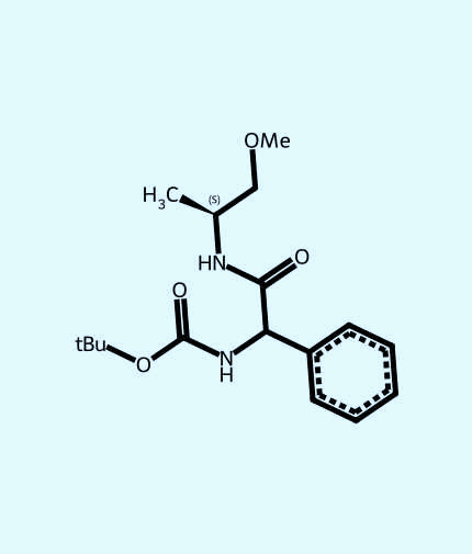 COC[C@H](C)NC(=O)C(NC(=O)OC(C)(C)C)c1ccccc1